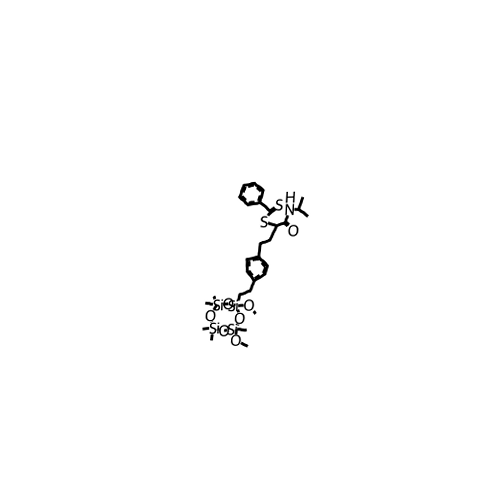 CO[Si]1(C)O[Si](C)(C)O[Si](C)(C)O[Si](CCc2ccc(CCC(SC(=S)c3ccccc3)C(=O)NC(C)C)cc2)(OC)O1